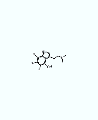 CN(C)CCc1c[nH]c2c(F)c(F)c(F)c(O)c12